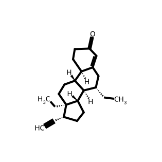 C#C[C@H]1CC[C@H]2[C@@H]3[C@@H](CC)CC4=CC(=O)CC[C@@H]4[C@H]3CC[C@]12CC